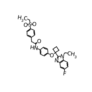 CCn1c(C2(Oc3ccc(NC(=O)Cc4ccc(S(=O)(=O)CC)cc4)cc3)CCC2)nc2cc(F)ccc21